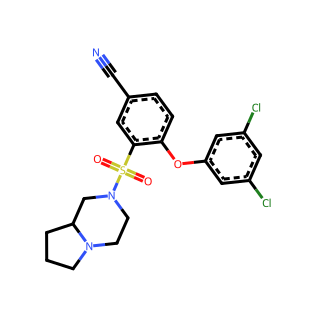 N#Cc1ccc(Oc2cc(Cl)cc(Cl)c2)c(S(=O)(=O)N2CCN3CCCC3C2)c1